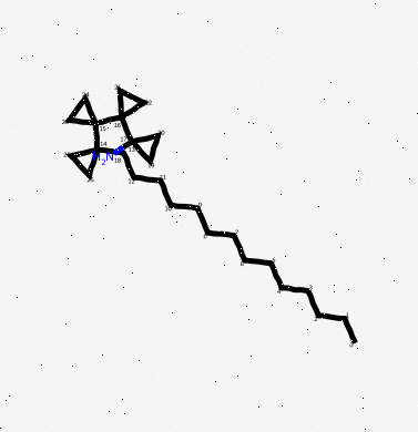 CCCCCCCCCCCCCCC1(C2(C3(C4(N)CC4)CC3)CC2)CC1